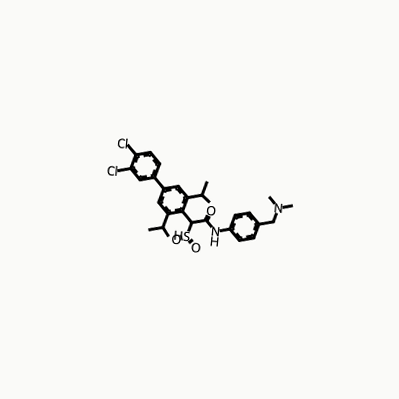 CC(C)c1cc(-c2ccc(Cl)c(Cl)c2)cc(C(C)C)c1C(C(=O)Nc1ccc(CN(C)C)cc1)[SH](=O)=O